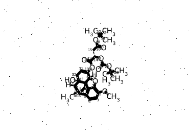 COc1ccc2c3c1O[C@H]1C(OC(=O)[C@H](CC(=O)OC(C)(C)C)OC(=O)OC(C)(C)C)=CC[C@@]4(O)[C@@H](C2)N(C)CC[C@]314